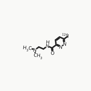 CN(C)CCNC(=O)c1ccc([124I])nn1